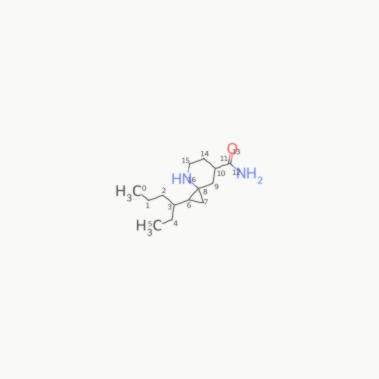 CCCC(CC)C1CC12CC(C(N)=O)CCN2